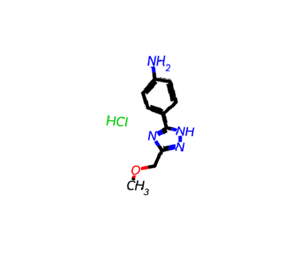 COCc1n[nH]c(-c2ccc(N)cc2)n1.Cl